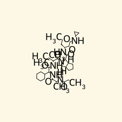 CCC[C@H](NC(=O)C1[C@H]2CCC[C@H]2CN1C(=O)[C@@H](NC(=O)[C@@H](NC(=O)[C@@H](C)NC(=O)CC)C1CCCCC1)C(C)(C)C)C(=O)C(=O)NC1CC1